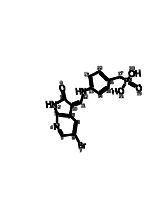 O=C1Nc2ncc(Br)cc2/C1=C/Nc1ccc(CP(=O)(O)O)cc1